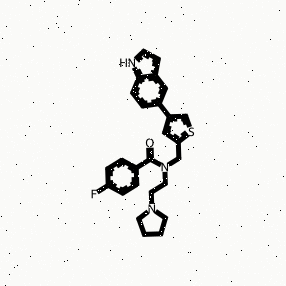 O=C(c1ccc(F)cc1)N(CCN1CCCC1)Cc1cc(-c2ccc3[nH]ccc3c2)cs1